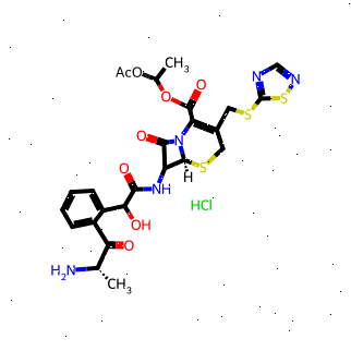 CC(=O)OC(C)OC(=O)C1=C(CSc2ncns2)CS[C@H]2C(NC(=O)C(O)c3ccccc3C(=O)[C@H](C)N)C(=O)N12.Cl